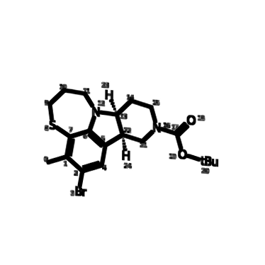 Cc1c(Br)cc2c3c1SCCCN3[C@H]1CCN(C(=O)OC(C)(C)C)C[C@@H]21